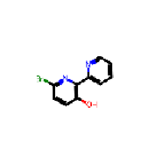 Oc1ccc(Br)nc1-c1ccccn1